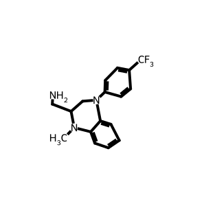 CN1c2ccccc2N(c2ccc(C(F)(F)F)cc2)CC1CN